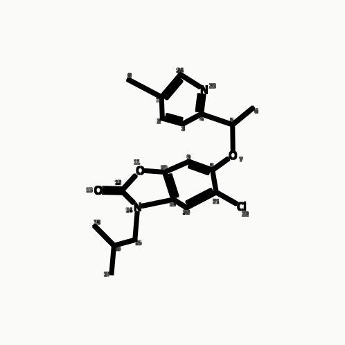 Cc1ccc(C(C)Oc2cc3oc(=O)n(CC(C)C)c3cc2Cl)nc1